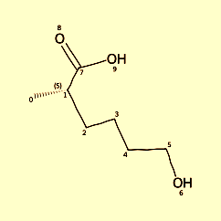 C[C@@H](CCCCO)C(=O)O